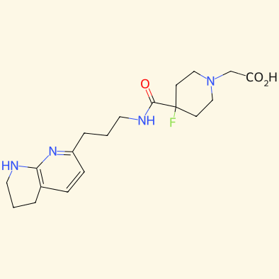 O=C(O)CN1CCC(F)(C(=O)NCCCc2ccc3c(n2)NCCC3)CC1